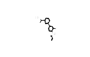 C=CC(=O)Nc1ccc(-c2cccc(C(C)C=O)c2)cc1F